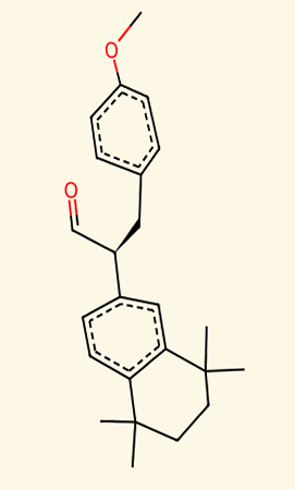 COc1ccc(C[C@H](C=O)c2ccc3c(c2)C(C)(C)CCC3(C)C)cc1